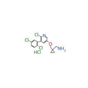 Cl.NCC1(COc2cnc(Cl)c(-c3cc(Cl)ccc3Cl)c2)CC1